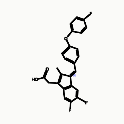 CC1=C(CC(=O)O)c2cc(F)c(F)cc2/C1=C/c1ccc(Oc2ccc(F)cc2)cc1